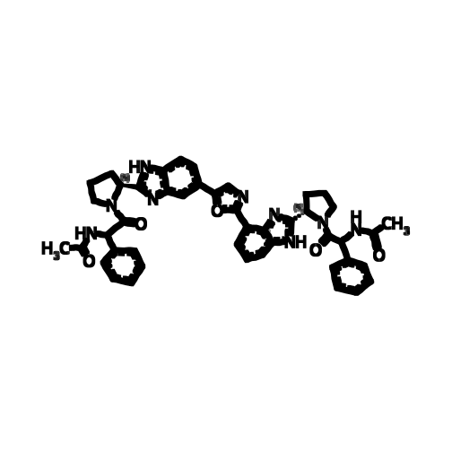 CC(=O)NC(C(=O)N1CCC[C@H]1c1nc2cc(-c3cnc(-c4cccc5[nH]c([C@@H]6CCCN6C(=O)C(NC(C)=O)c6ccccc6)nc45)o3)ccc2[nH]1)c1ccccc1